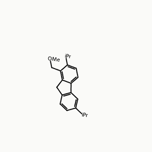 COCc1c(C(C)C)ccc2c1Cc1ccc(C(C)C)cc1-2